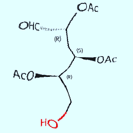 CC(=O)O[C@H]([C@H](C=O)OC(C)=O)[C@@H](CO)OC(C)=O